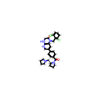 O=C1CNc2ncc(-c3ccc(C(=O)N4CCC[C@H]4CN4CCCC4)cc3)cc2N1Cc1c(Cl)cccc1Cl